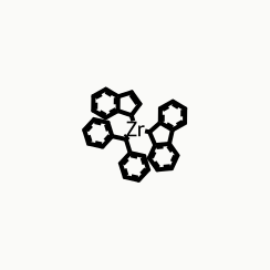 C1=C[CH]([Zr](=[C](c2ccccc2)c2ccccc2)[CH]2c3ccccc3-c3ccccc32)c2ccccc21